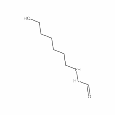 O=CNPCCCCCCO